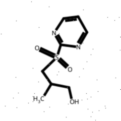 CC(CO)CS(=O)(=O)c1ncccn1